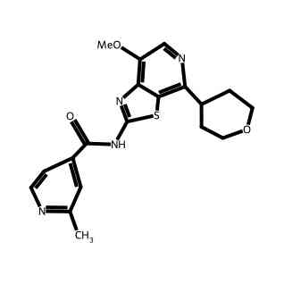 COc1cnc(C2CCOCC2)c2sc(NC(=O)c3ccnc(C)c3)nc12